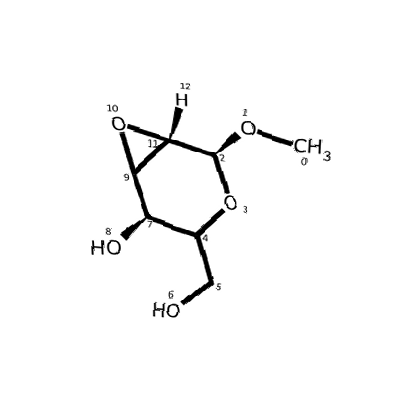 CO[C@H]1OC(CO)[C@@H](O)C2O[C@@H]21